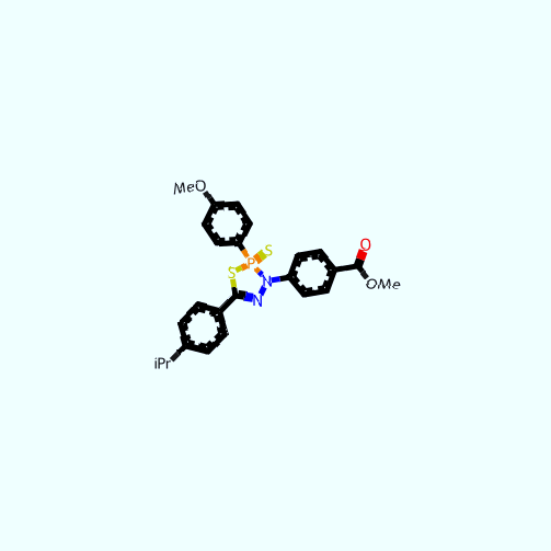 COC(=O)c1ccc(N2N=C(c3ccc(C(C)C)cc3)SP2(=S)c2ccc(OC)cc2)cc1